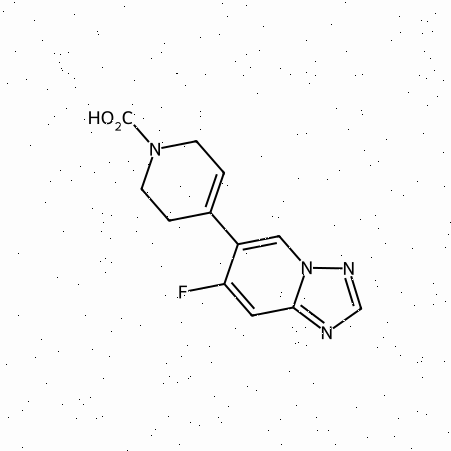 O=C(O)N1CC=C(c2cn3ncnc3cc2F)CC1